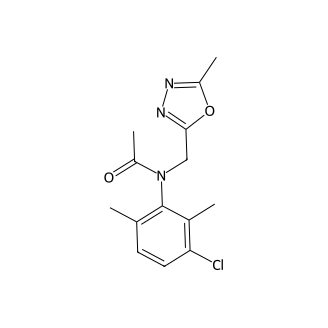 CC(=O)N(Cc1nnc(C)o1)c1c(C)ccc(Cl)c1C